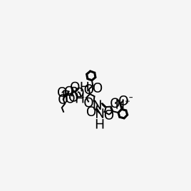 CCCOP(=O)(O)OP(=O)(O)OC[C@H]1O[C@@H](N2C=C3C=C(c4ccccc4[N+](=O)[O-])OC3NC2=O)CC1OC(=O)c1ccccc1